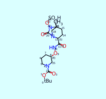 CC(C)(C)OC(=O)N1CCC[C@@H](ONC(=O)[C@@H]2CC[C@]3(C)CN2C(=O)N3OS(=O)(=O)O)C1